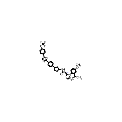 COc1ccc(N2CCS/C2=C\C(=O)NC2CCC(c3ccc(-c4ncn(-c5ccc(OC(F)(F)F)cc5)n4)cc3)C2)c(C(C)C)c1